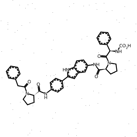 O=C(O)N[C@@H](C(=O)N1CCC[C@H]1C(=O)Nc1ccc2[nH]c(-c3ccc(NC(=O)[C@@H]4CCCN4C(=O)Cc4ccccc4)cc3)cc2c1)c1ccccc1